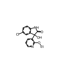 CCOc1ncccc1C1(O)C(=O)Nc2ccc(Cl)cc21